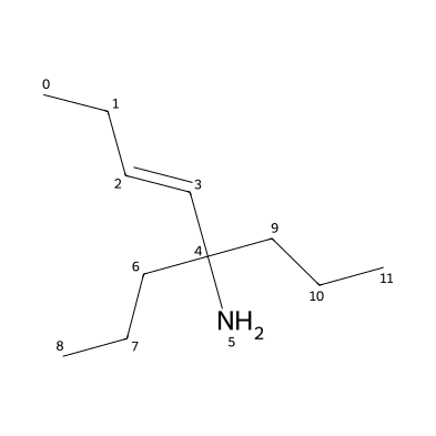 CCC=CC(N)(CCC)CCC